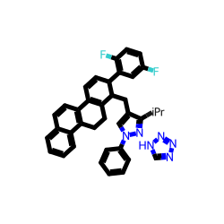 CC(C)c1nn(-c2ccccc2)cc1CC1C2=C(C=CC1c1cc(F)ccc1F)c1ccc3ccccc3c1CC2.c1nnn[nH]1